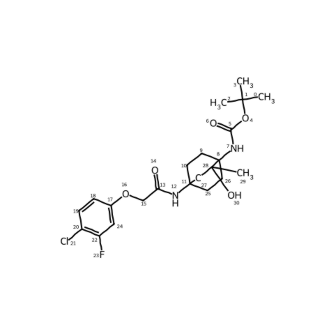 CC(C)(C)OC(=O)NC12CCC(NC(=O)COc3ccc(Cl)c(F)c3)(CC1)CC2(C)O